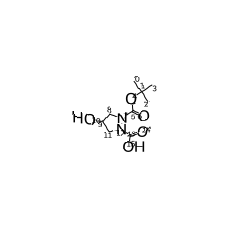 CC(C)(C)OC(=O)N1CC(O)CN1C(=O)O